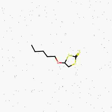 CCCCCOC1CSC(=S)S1